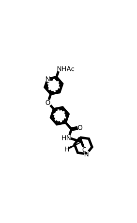 CC(=O)Nc1ccc(Oc2ccc(C(=O)N[C@H]3CN4CCC3CC4)cc2)cn1